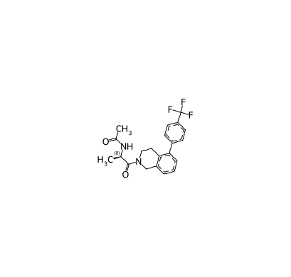 CC(=O)N[C@H](C)C(=O)N1CCc2c(cccc2-c2ccc(C(F)(F)F)cc2)C1